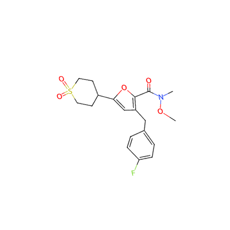 CON(C)C(=O)c1oc(C2CCS(=O)(=O)CC2)cc1Cc1ccc(F)cc1